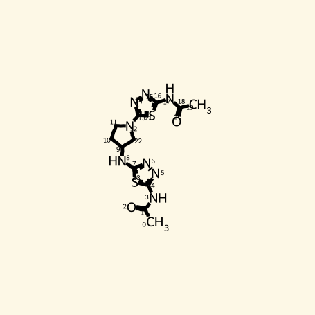 CC(=O)Nc1nnc(NC2CCN(c3nnc(NC(C)=O)s3)C2)s1